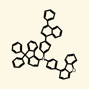 c1ccc(-c2ccc(-c3ccc(N(c4ccc(-c5cccc6oc7ccccc7c56)cc4)c4cccc5c4-c4ccccc4C5(c4ccccc4)c4ccccc4)cc3)c3ccccc23)cc1